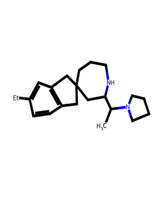 CCc1ccc2c(c1)CC1(CCCNC(C(C)N3CCCC3)C1)C2